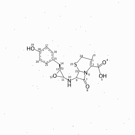 CC1=C(C(=O)O)N2C(=O)C(NC3O[C@H]3Cc3ccc(O)cc3)C2SC1